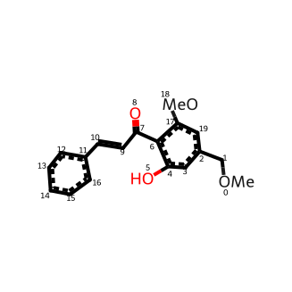 COCc1cc(O)c(C(=O)/C=C/c2ccccc2)c(OC)c1